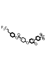 CS(=O)(=O)c1ccc(-n2ccc(OC3CCN(C(=O)Oc4ccc(CCC(F)(F)F)cc4)CC3)cc2=O)cc1